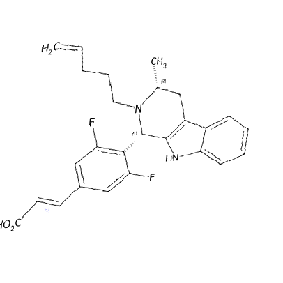 C=CCCCN1[C@@H](c2c(F)cc(/C=C/C(=O)O)cc2F)c2[nH]c3ccccc3c2C[C@H]1C